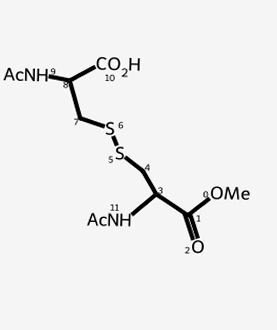 COC(=O)C(CSSCC(NC(C)=O)C(=O)O)NC(C)=O